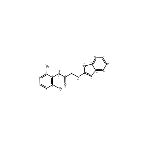 CC(C)c1cccc(C(C)C)c1NC(=O)CSc1nc2ccccc2[nH]1